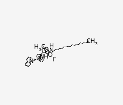 CCCCCCCCCCCCCCCCCCNC(=O)OCC(CNS(=O)(=O)CCC[n+]1cccc2ccccc21)CC(C)=O.[I-]